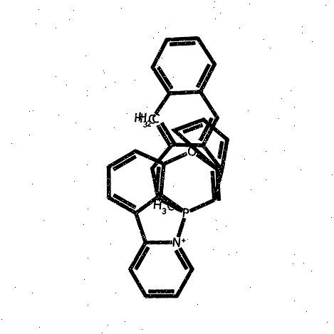 C=C1CCP23(C)c4c(cccc4/C1=C/c1ccccc1C)Oc1cccc(c12)-c1cccc[n+]13